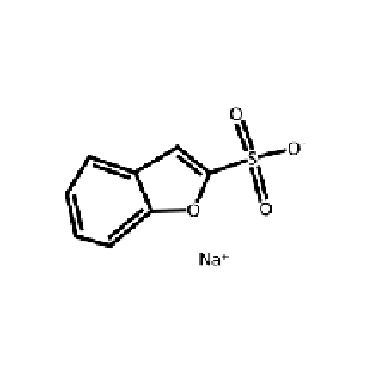 O=S(=O)([O-])c1cc2ccccc2o1.[Na+]